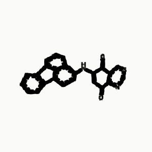 O=C1C(Nc2ccc3c4c(cccc24)-c2ccccc2-3)=CC(=O)c2ncncc21